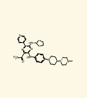 CN1CCN(C2CCN(c3ccc(Nc4nc(NC5CCCC5)c(-c5ccncc5)nc4C(N)=O)cc3)CC2)CC1